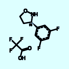 Fc1cc(F)cc([C@@H]2CCON2)c1.O=C(O)C(F)(F)F